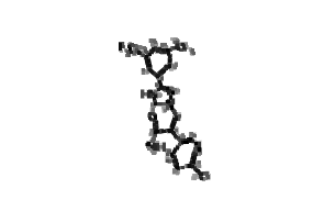 NC(=O)/C(=C\N1CNC(c2cc(C(F)(F)F)cc(C(F)(F)F)c2)=N1)c1ccc(Cl)nc1